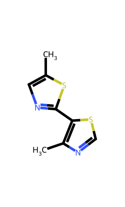 Cc1cnc(-c2scnc2C)s1